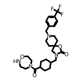 O=C1OC2(CCN(Cc3ccc(C(F)(F)F)cc3)CC2)CN1CC1CCC(C(=O)N2CCNOCC2)CC1